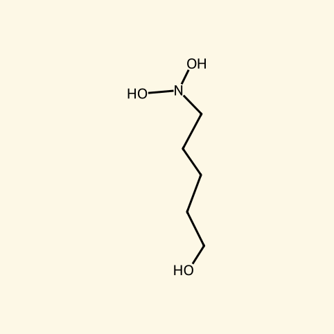 OCCCCCN(O)O